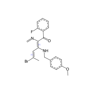 C=N/C(C(=O)c1ccccc1F)=C(\C=C(/C)Br)NCc1ccc(OC)cc1